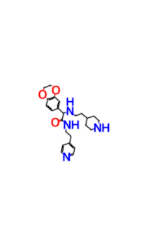 O=C(NCCc1ccncc1)C(NCCC1CCNCC1)c1ccc2c(c1)OCCO2